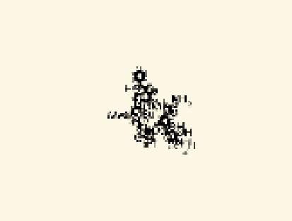 CC[C@H](C)C([C@@H](CC(=O)N1CCC[C@H]1[C@H](OC)[C@@H](C)C(=O)C[C@H](C)[C@@H](O)c1ccccc1)OC)N(C)C(=O)CNC(=O)C(C(C)C)N(C)C(=O)OCc1cc(NC(=O)CON)ccc1OC1OC(C(=O)O)C(O)C(O)C1O